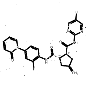 C=C1C[C@H](C(=O)Nc2ncc(Cl)cn2)[C@@H](C(=O)Nc2ccc(-n3ccccc3=O)cc2F)C1